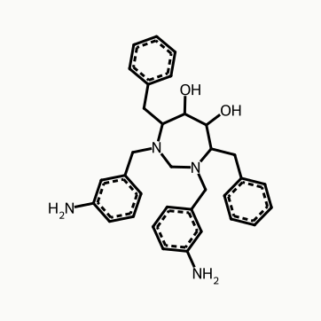 Nc1cccc(CN2CN(Cc3cccc(N)c3)C(Cc3ccccc3)C(O)C(O)C2Cc2ccccc2)c1